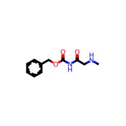 CNCC(=O)NC(=O)OCc1ccccc1